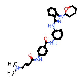 CN(C)CC=CC(=O)Nc1ccc(C(=O)Nc2cccc(Nc3nn(C4CCCCO4)c4ccccc34)c2)cc1